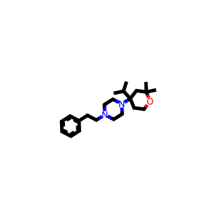 CC(C)C1(N2CCN(CCc3ccccc3)CC2)CCOC(C)(C)C1